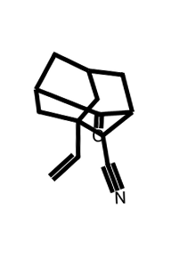 C=CC12CC3CC(C1)C(=O)C(C3)C2C#N